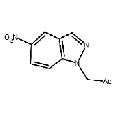 CC(=O)Cn1ncc2cc([N+](=O)[O-])ccc21